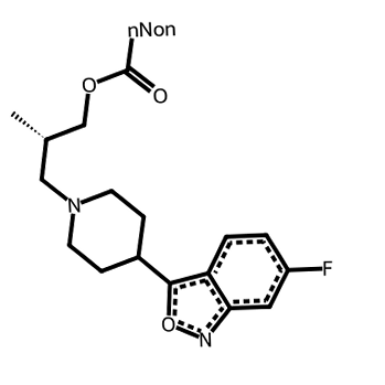 CCCCCCCCCC(=O)OC[C@@H](C)CN1CCC(c2onc3cc(F)ccc23)CC1